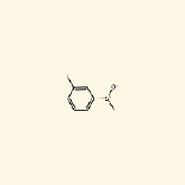 C[S+]([O-])c1cccc(I)c1